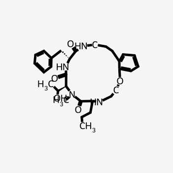 CCCC1NCCOc2ccccc2CCCNC(=O)[C@@H](Cc2ccccc2)NC(=O)[C@H](C(C)O)N(C)C1=O